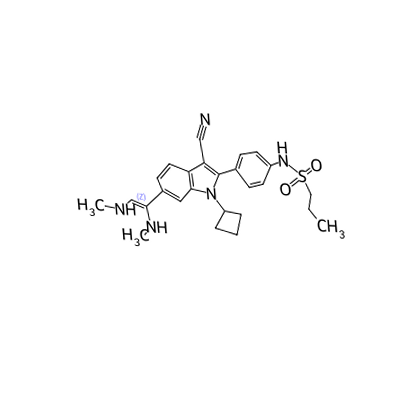 CCCS(=O)(=O)Nc1ccc(-c2c(C#N)c3ccc(/C(=C/NC)NC)cc3n2C2CCC2)cc1